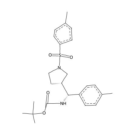 Cc1ccc([C@H](NC(=O)OC(C)(C)C)[C@@H]2CCN(S(=O)(=O)c3ccc(C)cc3)C2)cc1